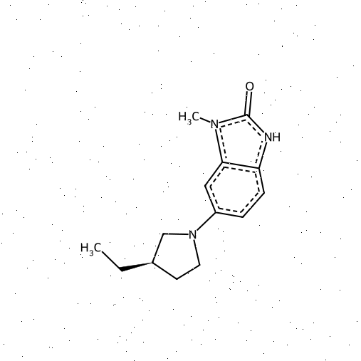 CC[C@@H]1CCN(c2ccc3[nH]c(=O)n(C)c3c2)C1